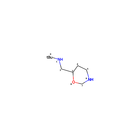 CC(C)(C)NCC1CCNCO1